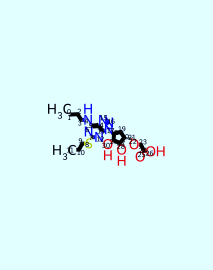 CCCCNc1nc(SCCC)nc2c1nnn2[C@@H]1C[C@H](COCC(=O)O)[C@@H](O)[C@H]1O